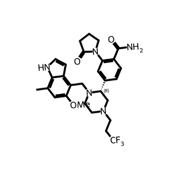 COc1cc(C)c2[nH]ccc2c1CN1CCN(CCC(F)(F)F)C[C@H]1c1ccc(C(N)=O)c(N2CCCC2=O)c1